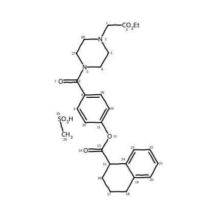 CCOC(=O)CN1CCN(C(=O)c2ccc(OC(=O)C3CCCc4ccccc43)cc2)CC1.CS(=O)(=O)O